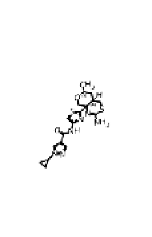 C[C@H]1C[C@H]2CSC(N)=NC2(c2nc(NC(=O)c3cnn(C4CC4)c3)cs2)CO1